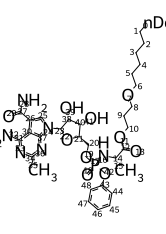 CCCCCCCCCCCCCCCCOCCCOC(=O)[C@H](C)NP(=O)(OC[C@H]1OC(n2cc(C(N)=O)c3c(N)nc(C)nc32)[C@H](O)[C@@H]1O)Oc1ccccc1